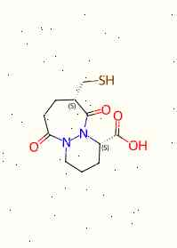 O=C(O)[C@@H]1CCCN2C(=O)CC[C@H](CS)C(=O)N12